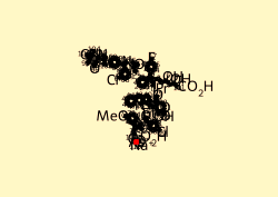 CC(C)n1c(/C=C/[C@@H](O)C[C@@H](O)CC(=O)O)c(-c2ccc(F)cc2)c2ccccc21.CC[C@@]1(O)C(=O)OCc2c1cc1n(c2=O)Cc2cc3ccccc3nc2-1.CN1C(=O)CN=C(c2ccccc2)c2cc(Cl)ccc21.COc1ccc2c(c1)c(CC(=O)O)c(C)n2C(=O)c1ccc(Cl)cc1.Cn1c(=O)c2c(ncn2C)n(C)c1=O.O=[As][O-].[Na+]